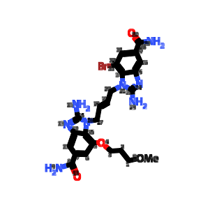 COCCCOc1cc(C(N)=O)cc2nc(N)n(CC=CCn3c(N)nc4cc(C(N)=O)cc(Br)c43)c12